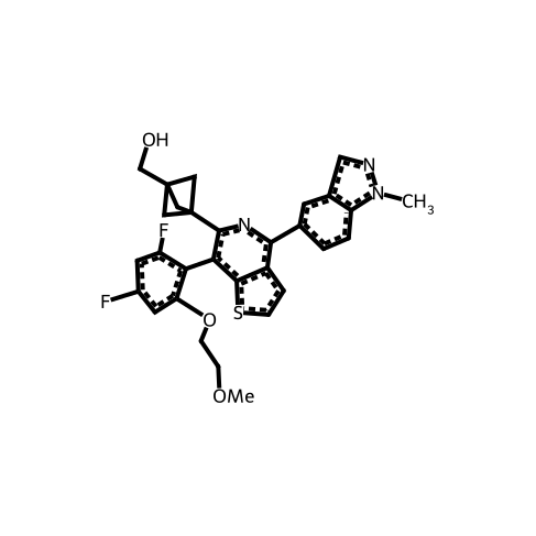 COCCOc1cc(F)cc(F)c1-c1c(C23CC(CO)(C2)C3)nc(-c2ccc3c(cnn3C)c2)c2ccsc12